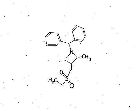 CCS(=O)(=O)C[C@H]1CN(C(c2ccccc2)c2ccccc2)[C@@H]1C